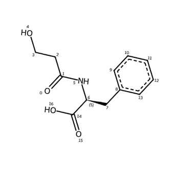 O=C(CCO)N[C@@H](Cc1ccccc1)C(=O)O